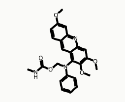 CNC(=O)OCN(c1ccccc1)c1c(OC)c(OC)cc2nc3cc(OC)ccc3cc12